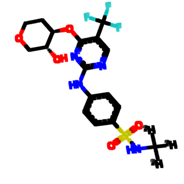 [2H]C([2H])([2H])NS(=O)(=O)c1ccc(Nc2ncc(C(F)(F)F)c(O[C@@H]3CCOC[C@H]3O)n2)cc1